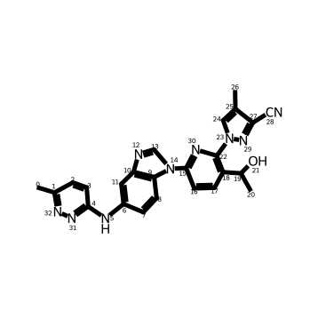 Cc1ccc(Nc2ccc3c(c2)ncn3-c2ccc(C(C)O)c(-n3cc(C)c(C#N)n3)n2)nn1